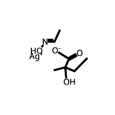 CC=NO.CCC(C)(O)C(=O)[O-].[Ag+]